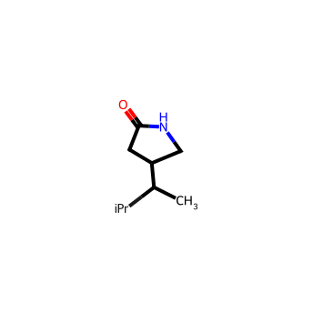 CC(C)C(C)C1CNC(=O)C1